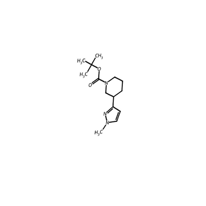 Cn1ccc(C2CCCN(C(=O)OC(C)(C)C)C2)n1